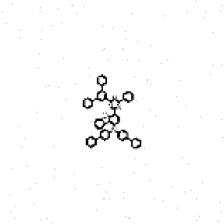 c1ccc(-c2ccc(N(c3ccc(-c4ccccc4)cc3)c3ccc(-c4nc(-c5ccccc5)nc(-c5cc(-c6ccccc6)cc(-c6ccccc6)c5)n4)c4oc5ccccc5c34)cc2)cc1